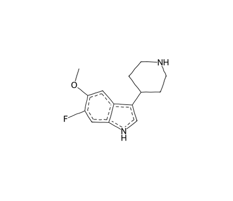 COc1cc2c(C3CCNCC3)c[nH]c2cc1F